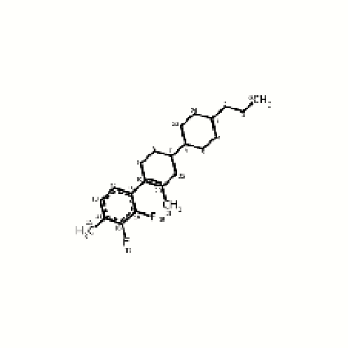 CCCC1CCC(C2CCC(c3ccc(C)c(F)c3F)=C(C)C2)CC1